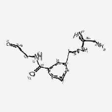 N=C(N)NCc1cccc(C(=O)N[CH]C=O)c1